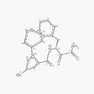 CC(C)(C)c1cc(C(=O)N[C@@H](Cc2ccccc2)C(=O)C(N)=O)n(-c2ccccc2)n1